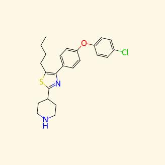 CCCCc1sc(C2CCNCC2)nc1-c1ccc(Oc2ccc(Cl)cc2)cc1